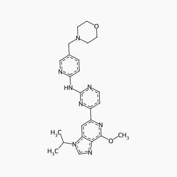 COc1nc(-c2ccnc(Nc3ccc(CN4CCOCC4)cn3)n2)cc2c1ncn2C(C)C